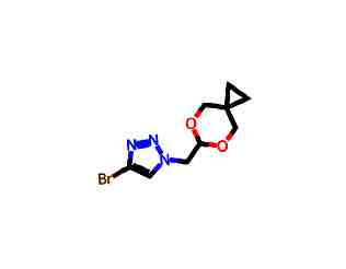 Brc1cn(CC2OCC3(CC3)CO2)nn1